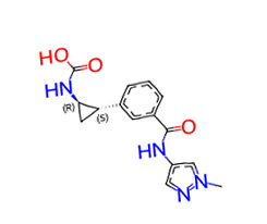 Cn1cc(NC(=O)c2cccc([C@@H]3C[C@H]3NC(=O)O)c2)cn1